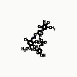 COc1cc(Cl)c(/C=N/O[C@@H]2C[C@H](n3cc(C)c(=O)[nH]c3=O)O[C@@H]2COP(=O)(O)OC[C@@H]2CC(O)OC2O)c(Cl)c1O